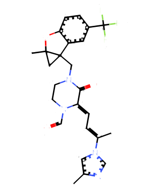 C/C(=C\C=C1\C(=O)N(CC23CC2(C)Oc2ccc(C(F)(F)F)cc23)CCN1C=O)n1cnc(C)c1